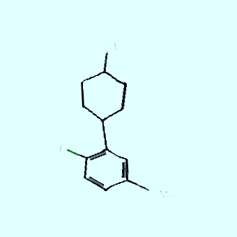 COc1ccc(F)c(C2CCC(C=O)CC2)c1